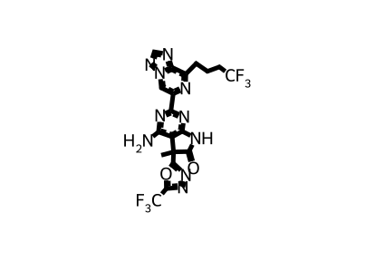 CC1(c2nnc(C(F)(F)F)o2)C(=O)Nc2nc(-c3cn4ncnc4c(CCCC(F)(F)F)n3)nc(N)c21